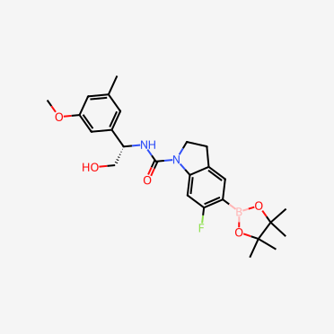 COc1cc(C)cc([C@@H](CO)NC(=O)N2CCc3cc(B4OC(C)(C)C(C)(C)O4)c(F)cc32)c1